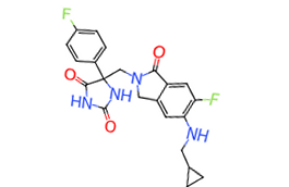 O=C1NC(=O)C(CN2Cc3cc(NCC4CC4)c(F)cc3C2=O)(c2ccc(F)cc2)N1